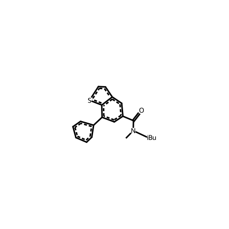 CCC(C)N(C)C(=O)c1cc(-c2ccccc2)c2sccc2c1